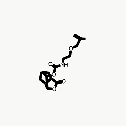 C=C(C)COCCNC(=O)OC1C2CC3C(=O)OC1C3C2